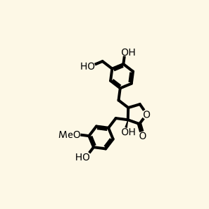 COc1cc(C[C@@]2(O)C(=O)OCC2Cc2ccc(O)c(CO)c2)ccc1O